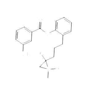 CCC1(CCCc2ccccc2OC(=O)c2cccc(C=O)c2)C[Si]1(C)O